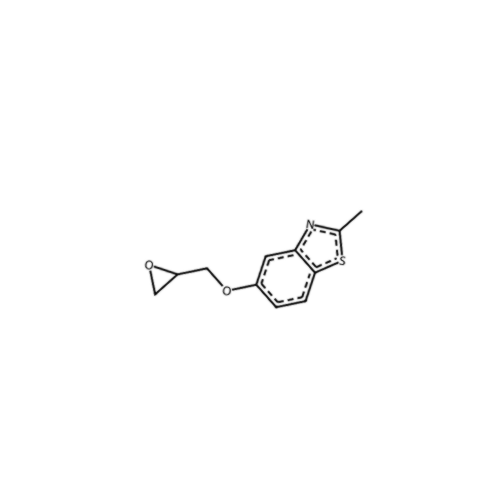 Cc1nc2cc(OCC3CO3)ccc2s1